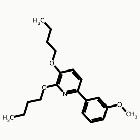 CCCCOc1ccc(-c2cccc(OC)c2)nc1OCCCC